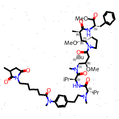 CC[C@H](C)[C@@H]([C@@H](CC(=O)N1CCC[C@H]1[C@H](OC)[C@@H](C)C(=O)N[C@@H](Cc1ccccc1)C(=O)OC)OC)N(C)C(=O)[C@@H](NC(=O)[C@H](C(C)C)N(C)CCc1ccc(N(C)C(=O)CCCCCN2C(=O)CC(C)C2=O)cc1)C(C)C